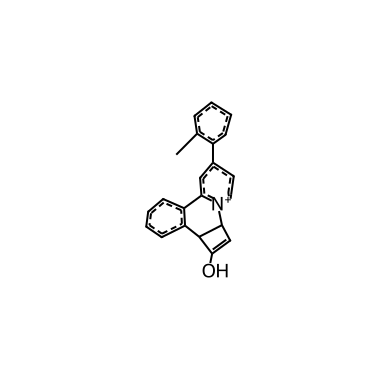 Cc1ccccc1-c1cc[n+]2c(c1)-c1ccccc1C1C(O)=CC12